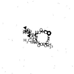 C=C[C@@H]1CC1(NC(=O)[C@@H]1C[C@@H]2CN1C(=O)[C@H](C(C)(C)C)NC(=O)OCC(C)(C)CCCCc1cccc3c1CN(C3)C(=O)O2)C(=O)NS(=O)(=O)C1CC1